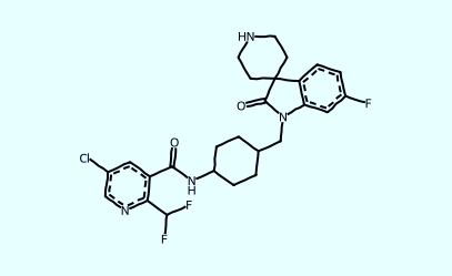 O=C(NC1CCC(CN2C(=O)C3(CCNCC3)c3ccc(F)cc32)CC1)c1cc(Cl)cnc1C(F)F